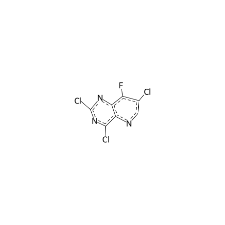 Fc1c(Cl)cnc2c(Cl)nc(Cl)nc12